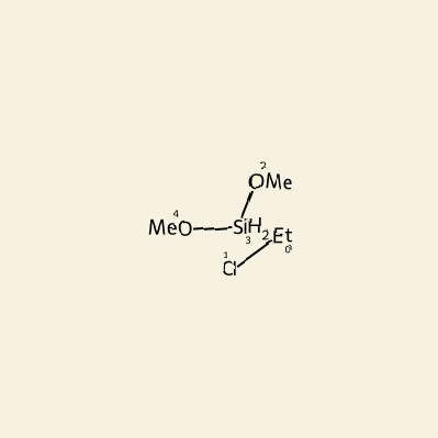 CCCl.CO[SiH2]OC